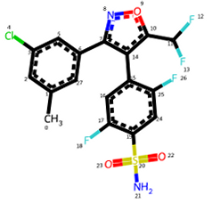 Cc1cc(Cl)cc(-c2noc(C(F)F)c2-c2cc(F)c(S(N)(=O)=O)cc2F)c1